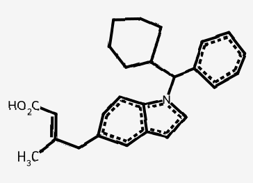 CC(=CC(=O)O)Cc1ccc2c(ccn2C(c2ccccc2)C2CCCCC2)c1